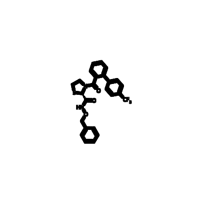 O=C(NOCc1ccccc1)[C@@H]1SCCN1C(=O)c1ccccc1-c1ccc(C(F)(F)F)cc1